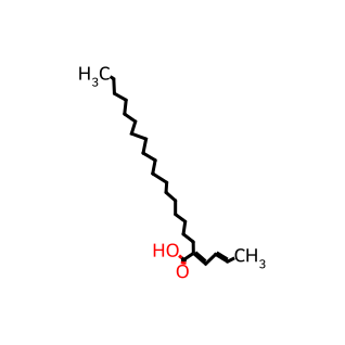 C/C=C/C=C(\CCCCCCCCCCCCCCCCCC)C(=O)O